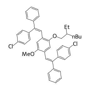 CCCCC(CC)COc1cc(C=C(c2ccccc2)c2ccc(Cl)cc2)c(OC)cc1C=C(c1ccccc1)c1ccc(Cl)cc1